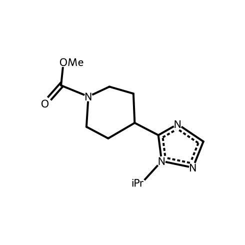 COC(=O)N1CCC(c2ncnn2C(C)C)CC1